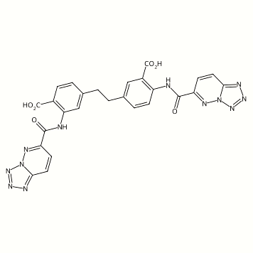 O=C(Nc1cc(CCc2ccc(NC(=O)c3ccc4nnnn4n3)c(C(=O)O)c2)ccc1C(=O)O)c1ccc2nnnn2n1